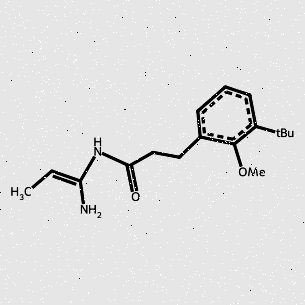 CC=C(N)NC(=O)CCc1cccc(C(C)(C)C)c1OC